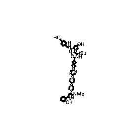 C#Cc1ccc(CNC(=O)[C@@H]2C[C@@H](O)CN2C(=O)[C@@H](NC(=O)C2CC3(C2)CN(c2cnc(N4CCC(N5CCN(c6cc(-c7ccccc7O)nnc6NC)CC5)CC4)cn2)C3)C(C)(C)C)cc1